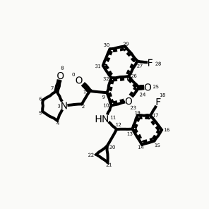 O=C(CN1CCCC1=O)c1c(NC(c2cccc(F)c2)C2CC2)oc(=O)c2c(F)cccc12